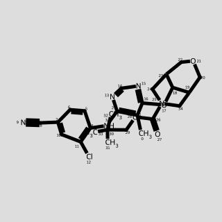 Cc1c(Nc2ccc(C#N)cc2Cl)ncnc1OC1C2COCC1CN(C(=O)OCC(C)(C)C)C2